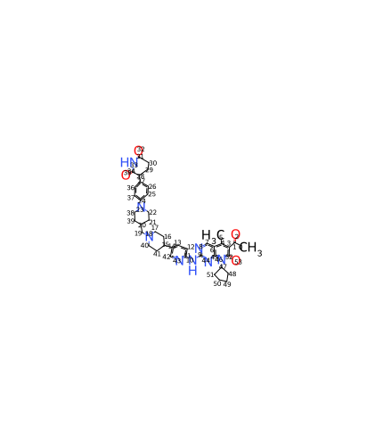 CC(=O)c1c(C)c2cnc(Nc3ccc(C4CCN(CC5CCN(c6ccc(C7CCC(=O)NC7=O)cc6)CC5)CC4)cn3)nc2n(C2CCCC2)c1=O